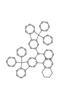 c1ccc(N(c2ccc3c(c2)C(c2ccccc2)(c2ccccc2)c2ccccc2-3)c2cc3c(cc2-c2cccc4c2CCCC4)-c2ccccc2C3(c2ccccc2)c2ccccc2)cc1